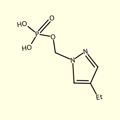 CCc1cnn(COP(=O)(O)O)c1